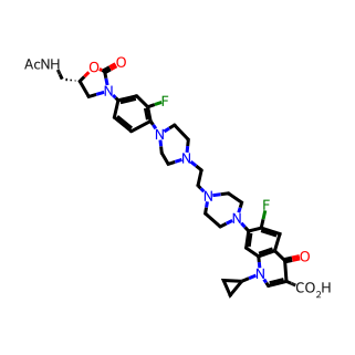 CC(=O)NC[C@H]1CN(c2ccc(N3CCN(CCN4CCN(c5cc6c(cc5F)c(=O)c(C(=O)O)cn6C5CC5)CC4)CC3)c(F)c2)C(=O)O1